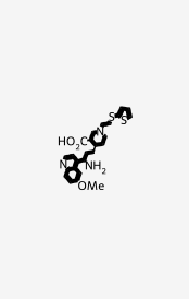 COc1ccc2nccc([C@H](N)CC[C@@H]3CCN(CCSc4cccs4)C[C@@H]3C(=O)O)c2c1